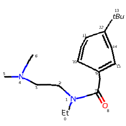 CCN(CCN(C)C)C(=O)c1ccc(C(C)(C)C)cc1